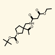 CCOC(=O)CC(=O)NCC1(C(C)=O)CCN(C(=O)OC(C)(C)C)C1